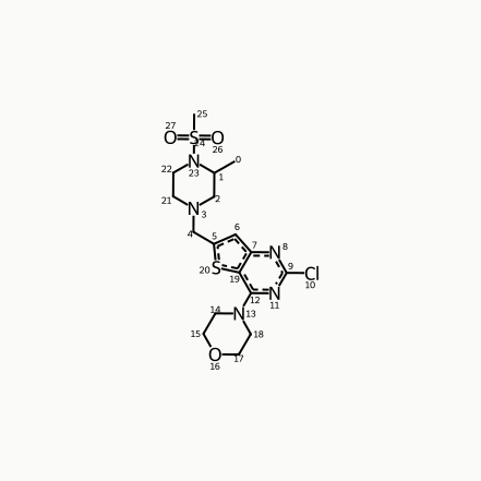 CC1CN(Cc2cc3nc(Cl)nc(N4CCOCC4)c3s2)CCN1S(C)(=O)=O